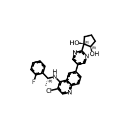 C[C@@H](Nc1c(Cl)cnc2ccc(-c3cnc([C@]4(O)CCC[C@H]4O)nc3)cc12)c1ccccc1F